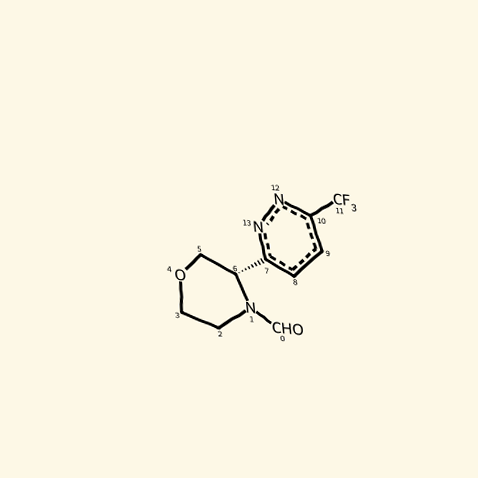 O=CN1CCOC[C@@H]1c1ccc(C(F)(F)F)nn1